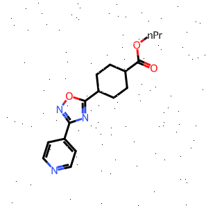 CCCOC(=O)C1CCC(c2nc(-c3ccncc3)no2)CC1